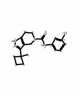 CC1(c2n[nH]c3c2CN(C(=O)Nc2cccc(Cl)c2)CC3)CCC1